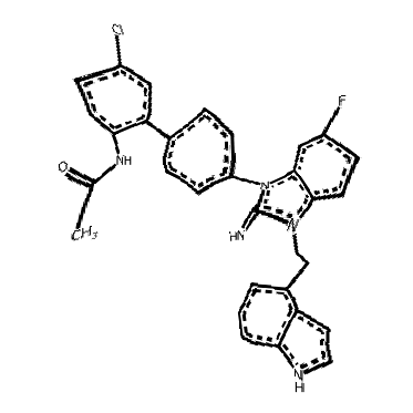 CC(=O)Nc1ccc(Cl)cc1-c1ccc(-n2c(=N)n(Cc3cccc4[nH]ccc34)c3ccc(F)cc32)cc1